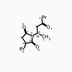 CC(C)C(=O)C[C@@H](C)N1C(=O)CC(C(C)C)C1=O